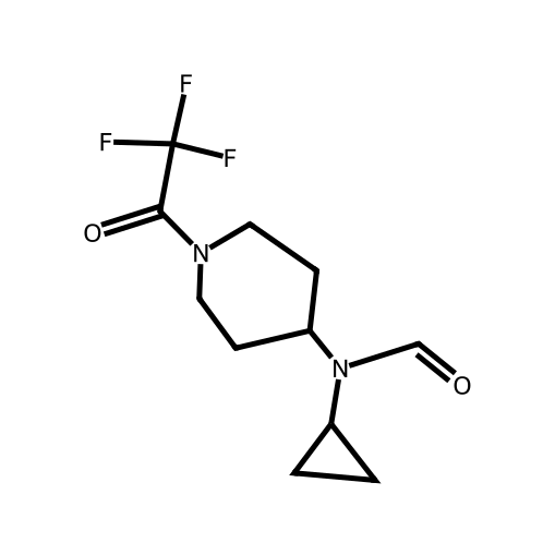 O=CN(C1CC1)C1CCN(C(=O)C(F)(F)F)CC1